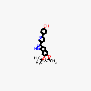 CC(C)Oc1cc2c(cc1OC(C)C)-c1[nH]nc(-c3ccc(-c4ccc(O)cc4)nc3)c1C2